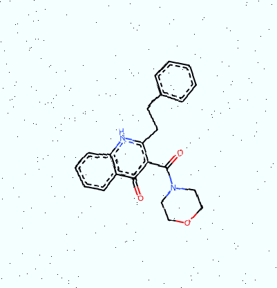 O=C(c1c(CCc2ccccc2)[nH]c2ccccc2c1=O)N1CCOCC1